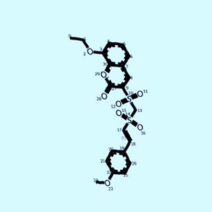 CCOc1cccc2cc(S(=O)(=O)CS(=O)(=O)/C=C/c3ccc(OC)cc3)c(=O)oc12